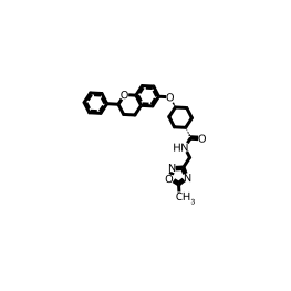 Cc1nc(CNC(=O)[C@H]2CC[C@@H](Oc3ccc4c(c3)CCC(c3ccccc3)O4)CC2)no1